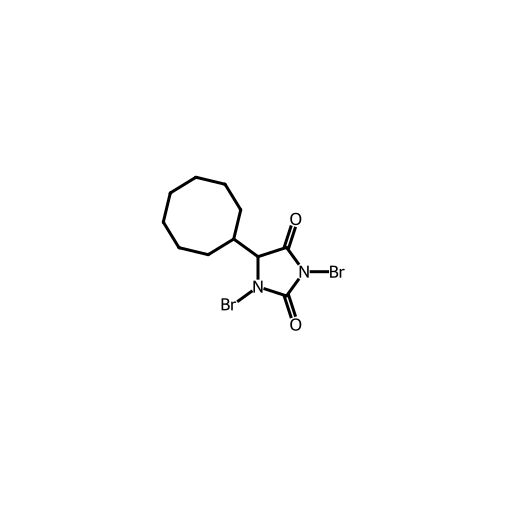 O=C1C(C2CCCCCCC2)N(Br)C(=O)N1Br